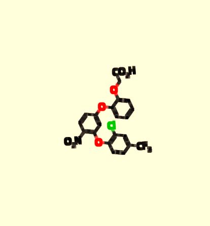 O=C(O)COc1ccccc1Oc1ccc([N+](=O)[O-])c(Oc2ccc(C(F)(F)F)cc2Cl)c1